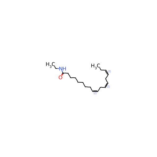 CC/C=C\C/C=C\C/C=C\CCCCCCCC(=O)NCC